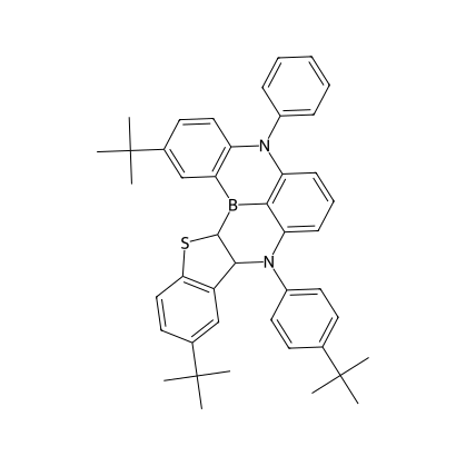 CC(C)(C)c1ccc(N2c3cccc4c3B(c3cc(C(C)(C)C)ccc3N4c3ccccc3)C3Sc4ccc(C(C)(C)C)cc4C32)cc1